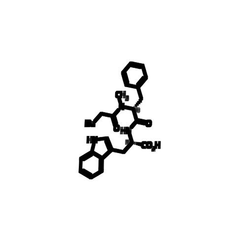 CCC(C)CC(=O)N(C)[C@H](Cc1ccccc1)C(=O)N[C@@H](Cc1c[nH]c2ccccc12)C(=O)O